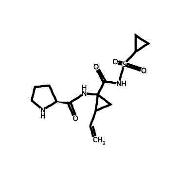 C=CC1CC1(NC(=O)[C@@H]1CCCN1)C(=O)NS(=O)(=O)C1CC1